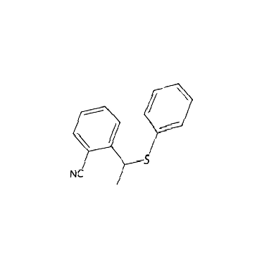 CC(Sc1ccccc1)c1ccccc1C#N